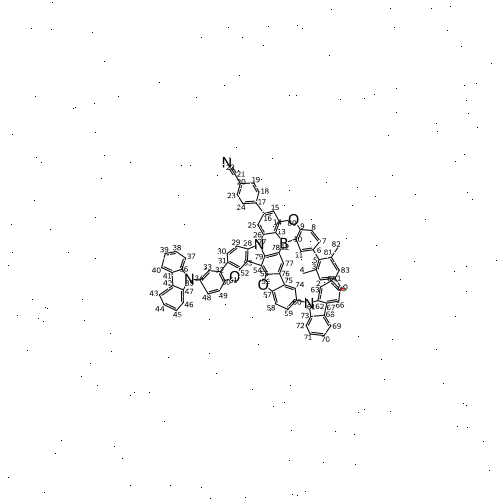 Cc1cc(C)c(-c2ccc3c(c2)B2c4c(cc(-c5ccc(C#N)cc5)cc4-n4c5ccc6c7cc(-n8c9ccccc9c9ccccc98)ccc7oc6c5c5c6oc7ccc(-n8c9ccccc9c9ccccc98)cc7c6cc2c54)O3)c(C)c1